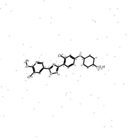 CC(C)Oc1ncc(-c2nc(-c3ccc(OC4CCC(C(=O)O)CC4)cc3Cl)no2)cc1Cl